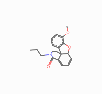 CCCN1CCC23C(=CC=CC2Oc2c(OC)cccc23)C1=O